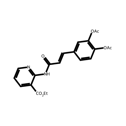 CCOC(=O)c1cccnc1NC(=O)C=Cc1ccc(OC(C)=O)c(OC(C)=O)c1